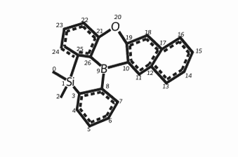 C[Si]1(C)c2ccccc2B2c3cc4ccccc4cc3Oc3cccc1c32